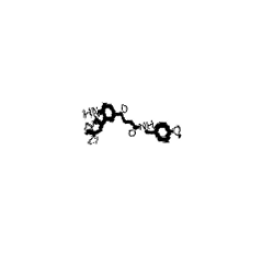 COc1ccc(CNC(=O)CCC(=O)c2ccc3[nH]c4ncc(Cl)cc4c3c2)cc1